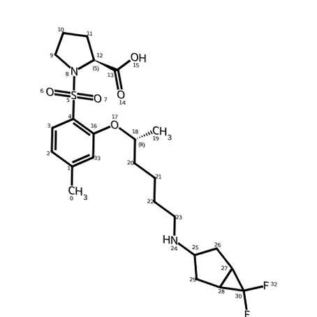 Cc1ccc(S(=O)(=O)N2CCC[C@H]2C(=O)O)c(O[C@H](C)CCCCNC2CC3C(C2)C3(F)F)c1